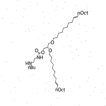 CCCCCCCCC=CCCCCCCCCOCC(COC(=O)NCCNCCCC)OCCCCCCCCC=CCCCCCCCC